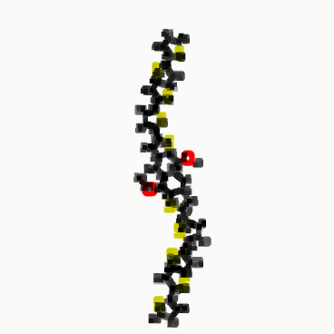 COc1c2cc3cc(-c4ccc(-c5cc6sc(-c7cccs7)cc6s5)s4)sc3c(OC)c2cc2cc(-c3ccc(-c4cc5sc(-c6cccs6)cc5s4)s3)sc12